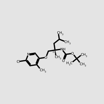 Cc1cc(Cl)ncc1OC[C@](C)(CC(C)C)NC(=O)OC(C)(C)C